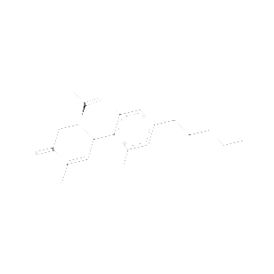 C=C(C)[C@@H]1CC(=O)C(C)=CC1c1c(O)cc(CCCCC)cc1O